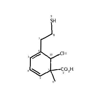 CC1(C(=O)O)C=CC=C(CCS)C1Cl